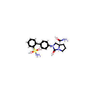 NC(=O)[C@]12[CH]CCN1C(=O)N(c1ccc(-c3ccccc3S(N)(=O)=O)cc1)C2